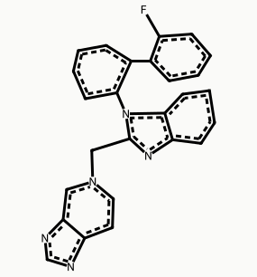 Fc1ccccc1-c1ccccc1-n1c(Cn2ccc3ncnc-3c2)nc2ccccc21